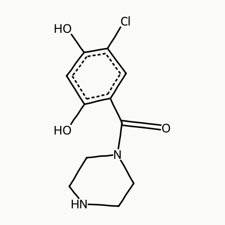 O=C(c1cc(Cl)c(O)cc1O)N1CCNCC1